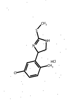 CSC1=NC(c2cc(Cl)ccc2C)CN1.Cl